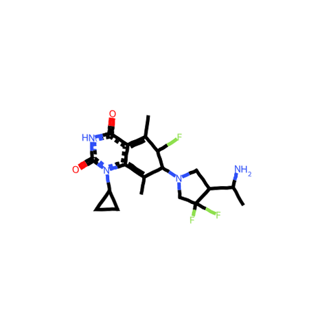 CC1=c2c(=O)[nH]c(=O)n(C3CC3)c2=C(C)C(N2CC(C(C)N)C(F)(F)C2)C1F